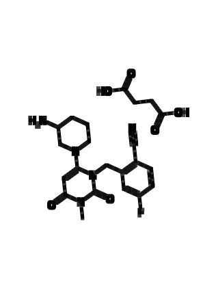 Cn1c(=O)cc(N2CCCC(N)C2)n(Cc2cc(F)ccc2C#N)c1=O.O=C(O)CCC(=O)O